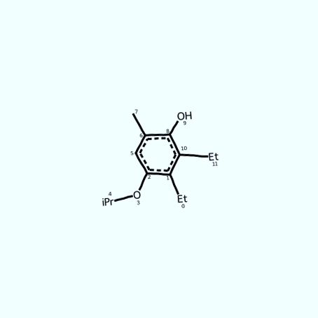 CCc1c(OC(C)C)cc(C)c(O)c1CC